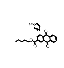 CCCCCOC(=O)c1ccc2c(c1)C(=O)c1ccccc1C2=O.c1c[nH]cn1